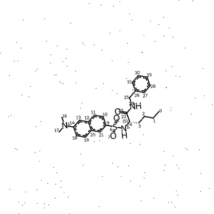 CCCC[C@H](NS(=O)(=O)c1ccc2cc(N(C)C)ccc2c1)C(=O)NCc1ccccc1